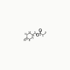 CCC(=O)OCC1CCC(C)CC1